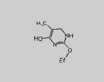 CCOC1=NC(O)=C(C)[CH]N1